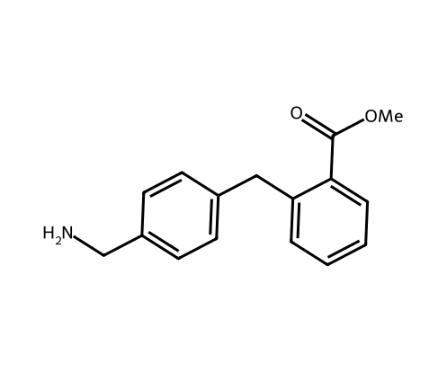 COC(=O)c1ccccc1Cc1ccc(CN)cc1